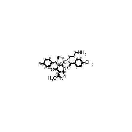 Cc1ccc(C(=O)N(CCCN)[C@H](c2nc3snc(C)c3c(=O)n2Cc2ccc(F)cc2)C(C)C)cc1